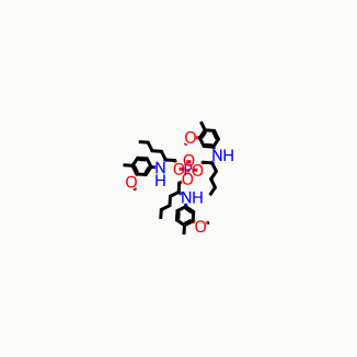 CCCCC(COP(=O)(OCC(CCCC)Nc1ccc(C)c(OC)c1)OCC(CCCC)Nc1ccc(C)c(OC)c1)Nc1ccc(C)c(OC)c1